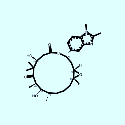 Cc1nc2cc([C@@H]3C[C@@H]4O[C@@H]4CCC[C@H](C)[C@H](O)[C@@H](C)C(=O)C(C)(C)[C@@H](O)CC(=O)O3)ccc2n1C